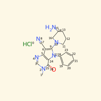 Cl.Cn1cnc2c(C#N)c(N3CCCC(N)C3)n(-c3ccccc3)c2c1=O